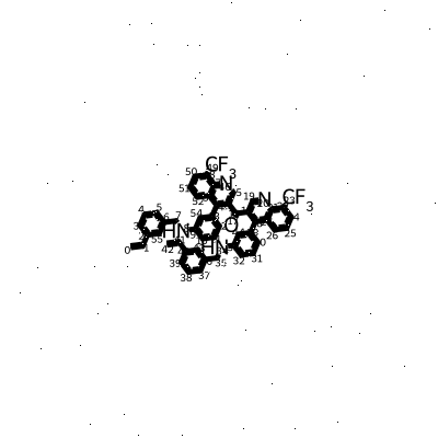 C=Cc1cccc(CNc2cccc(-c3c(C(=O)c4cnc5c(C(F)(F)F)cccc5c4-c4cccc(NCc5cccc(C=C)c5)c4)cnc4c(C(F)(F)F)cccc34)c2)c1